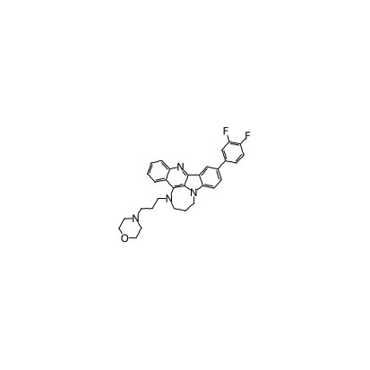 Fc1ccc(-c2ccc3c(c2)c2nc4ccccc4c4c2n3CCCN4CCCN2CCOCC2)cc1F